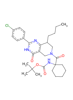 CCCCC1CN(C(=O)C2(NC(=O)OC(C)(C)C)CCCCC2)Cc2c1nc(-c1ccc(Cl)cc1)[nH]c2=O